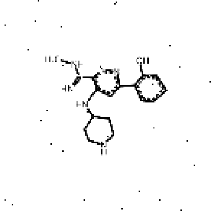 CNC(=N)c1nnc(-c2ccccc2O)cc1NC1CCNCC1